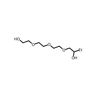 CCC(O)COCCOCCOCCO